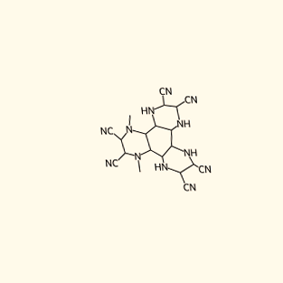 CN1C(C#N)C(C#N)N(C)C2C3NC(C#N)C(C#N)NC3C3NC(C#N)C(C#N)NC3C21